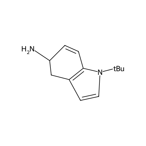 CC(C)(C)n1ccc2c1C=CC(N)C2